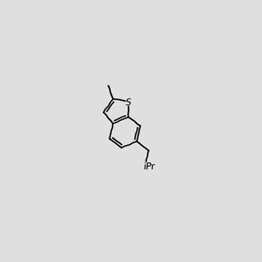 Cc1cc2ccc(CC(C)C)cc2s1